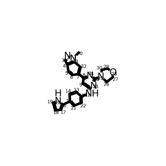 Cn1ncc2ccc(-c3cc(Nc4ccc(-c5ccc[nH]5)cc4)nc(N4CCOCC4)n3)cc21